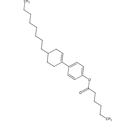 CCCCCCCCC1CC=C(c2ccc(OC(=O)CCCCC)cc2)CC1